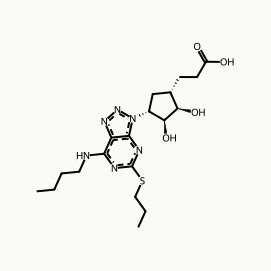 CCCCNc1nc(SCCC)nc2c1nnn2[C@@H]1C[C@H](CCC(=O)O)[C@@H](O)[C@H]1O